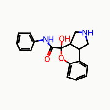 O=C(Nc1ccccc1)C1(O)Oc2ccccc2C2CNCC21